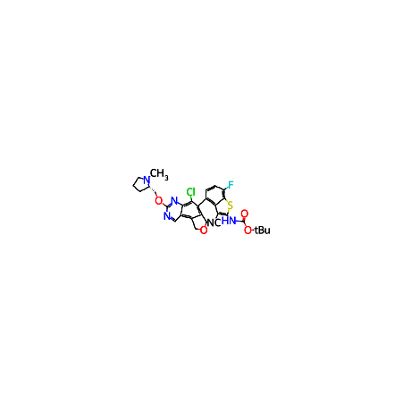 CN1CCC[C@H]1COc1ncc2c3c(c(-c4ccc(F)c5sc(NC(=O)OC(C)(C)C)c(C#N)c45)c(Cl)c2n1)COC3